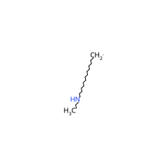 [CH2]CCCCCCCCCCCCCCCNCCCC